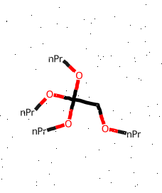 CCCOCC(OCCC)(OCCC)OCCC